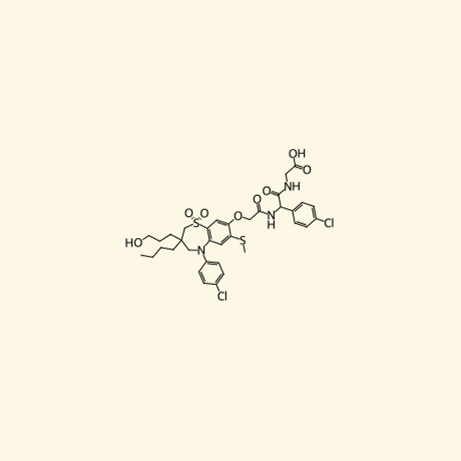 CCCCC1(CCCO)CN(c2ccc(Cl)cc2)c2cc(SC)c(OCC(=O)NC(C(=O)NCC(=O)O)c3ccc(Cl)cc3)cc2S(=O)(=O)C1